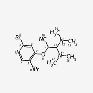 CC(C)c1cnc(Br)cc1OC(C#N)C(N(C)C)N(C)C